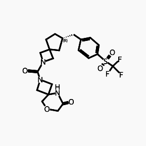 O=C1COCC2(CN(C(=O)N3CC4(CC[C@H](Cc5ccc(S(=O)(=O)C(F)(F)F)cc5)C4)C3)C2)N1